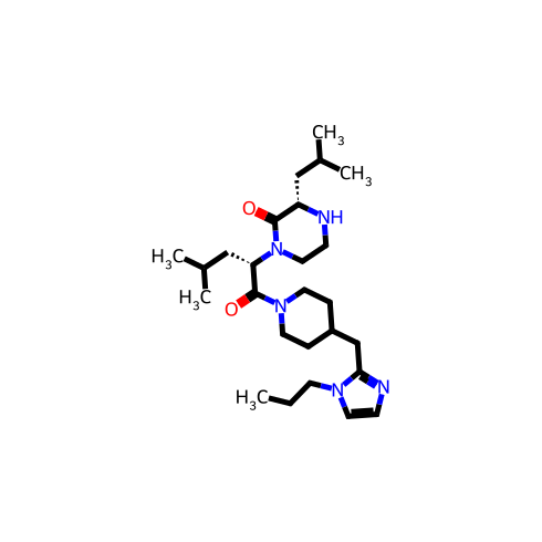 CCCn1ccnc1CC1CCN(C(=O)[C@H](CC(C)C)N2CCN[C@@H](CC(C)C)C2=O)CC1